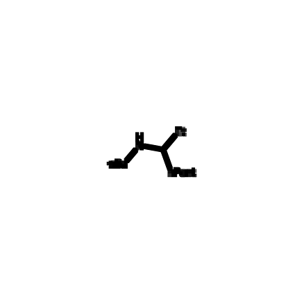 [CH2]CC[CH]NC(CC)CCCCC